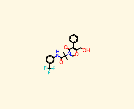 CC(C)(C(=O)Nc1cccc(C(F)(F)F)c1)N1COC(CO)=C(c2ccccc2)C1=O